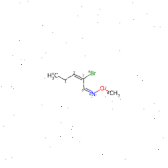 CC/C=C(Br)\C=N/OC